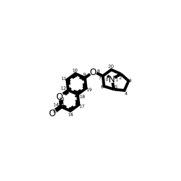 CN1C2CCC1CC(Oc1ccc3oc(=O)ccc3c1)C2